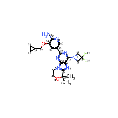 CC1(C)OCCn2c1nc1c(N3CC(F)(F)C3)nc(-c3cnc(N)c(OCC4CC4)c3)nc12